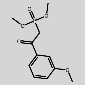 COc1cccc(C(=O)CP(=O)(OC)OC)c1